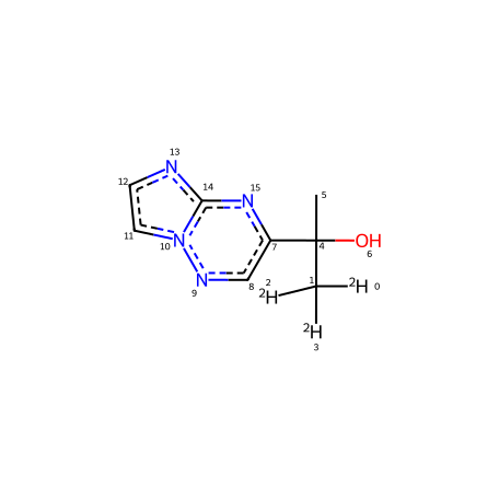 [2H]C([2H])([2H])C(C)(O)c1cnn2ccnc2n1